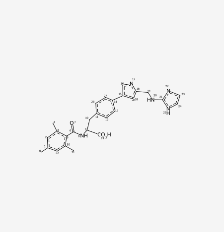 Cc1cc(C)c(C(=O)NC(Cc2ccc(-c3cnc(CNc4ncc[nH]4)s3)cc2)C(=O)O)c(C)c1